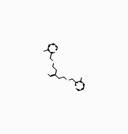 COc1cccnc1CSCCC(=C[N+](=O)[O-])CCSCc1ncccc1Cl